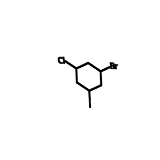 ClC1CC(Br)CC(I)C1